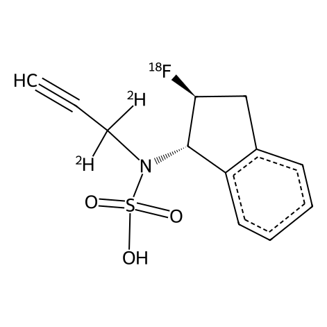 [2H]C([2H])(C#C)N([C@H]1c2ccccc2C[C@@H]1[18F])S(=O)(=O)O